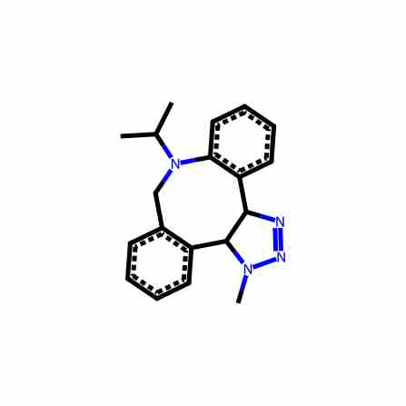 CC(C)N1Cc2ccccc2C2C(N=NN2C)c2ccccc21